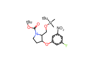 CC(C)(C)OC(=O)N1CCC(Oc2cc(F)cc([N+](=O)[O-])c2)C1CO[Si](C)(C)C(C)(C)C